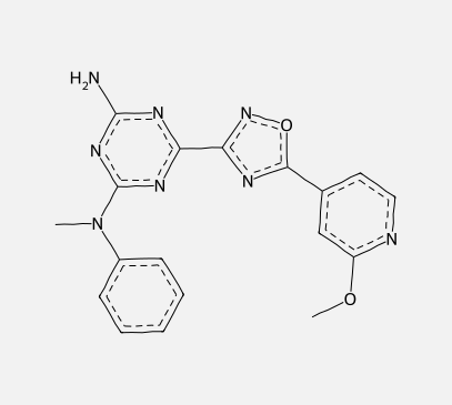 COc1cc(-c2nc(-c3nc(N)nc(N(C)c4ccccc4)n3)no2)ccn1